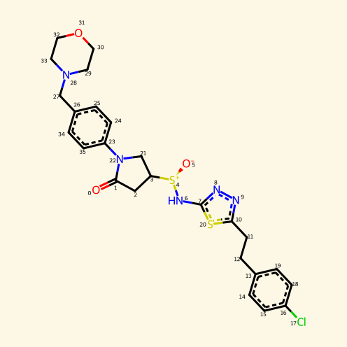 O=C1CC([S@@+]([O-])Nc2nnc(CCc3ccc(Cl)cc3)s2)CN1c1ccc(CN2CCOCC2)cc1